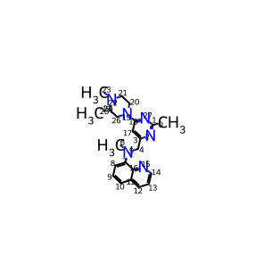 Cc1nc(CN(C)c2cccc3cccnc23)cc(N2CCN(C)[C@@H](C)C2)n1